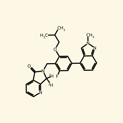 [2H]C1([2H])c2ncccc2C(=O)N1Cc1c(F)cc(-c2cccc3nn(C)cc23)cc1OCC(C)C